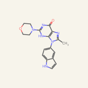 Cc1nc2c(=O)nc(N3CCOCC3)[nH]c2n1-c1ccc2[nH]ccc2c1